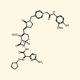 COc1cc(NC(=O)C[n+]2ccc(CN3CCC(=CC4=C(C(=O)[O-])N5C(=O)[C@@H](NC(=O)/C(=N\OC6CCCC6)c6csc(N)n6)[C@H]5SC4)C3=O)cc2)ccc1O